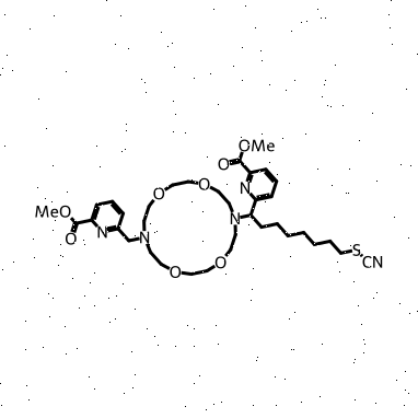 COC(=O)c1cccc(CN2CCOCCOCCN(C(CCCCCCCSC#N)c3cccc(C(=O)OC)n3)CCOCCOCC2)n1